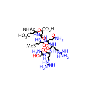 CSCC[C@H](NC(=O)[C@H](CCC(=O)O)NC(=O)[C@H](CCC(=O)O)NC(C)=O)C(=O)N[C@@H](CCC(N)=O)C(=O)N[C@@H](CCCNC(=N)N)C(=O)N[C@@H](CCCNC(=N)N)C(=O)N[C@@H](CO)C(N)=O